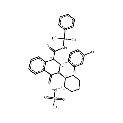 CC(C)(NC(=O)[C@@H]1c2ccccc2C(=O)N([C@H]2CCCC[C@@H]2NS(C)(=O)=O)[C@H]1c1ccc(Cl)cc1Cl)c1ccccc1